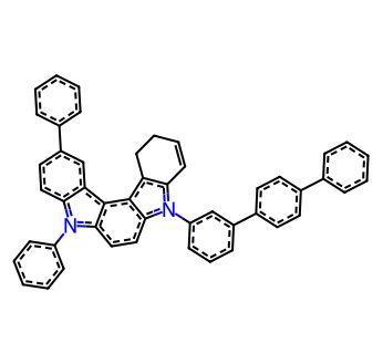 C1=Cc2c(c3c4c5cc(-c6ccccc6)ccc5n(-c5ccccc5)c4ccc3n2-c2cccc(-c3ccc(-c4ccccc4)cc3)c2)CC1